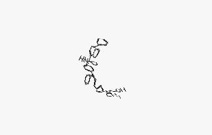 CN(CCO)c1ccc(/C=C/C(=O)c2ccc(NC(=O)c3ccc(-c4ccccc4)o3)cc2)cc1